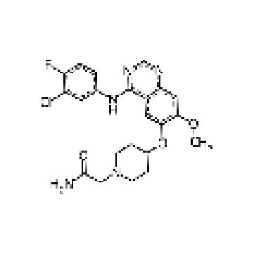 COc1cc2ncnc(Nc3ccc(F)c(Cl)c3)c2cc1OC1CCN(CC(N)=O)CC1